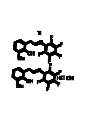 CC(C)(C)c1cccc(CC=Nc2c(F)c(F)c(F)c(F)c2F)c1O.CC(C)(C)c1cccc(CC=Nc2c(F)c(F)c(F)c(F)c2F)c1O.Cl.Cl.[Ti]